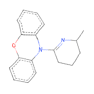 CC1CCCC(N2c3ccccc3Oc3ccccc32)=N1